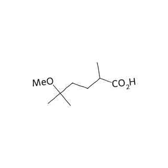 COC(C)(C)CCC(C)C(=O)O